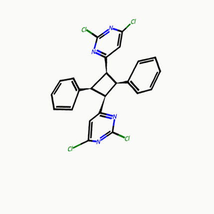 Clc1cc([C@H]2[C@@H](c3ccccc3)[C@@H](c3cc(Cl)nc(Cl)n3)[C@H]2c2ccccc2)nc(Cl)n1